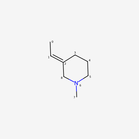 C/C=C1\CCCN(C)C1